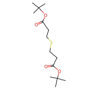 CC(C)(C)OC(=O)CCSCCC(=O)OC(C)(C)C